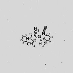 CC1=CC=CCN1c1ccc(OCc2c(C)cccc2N=C=O)c(C)c1